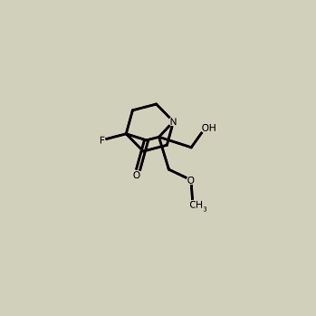 COCC1(CO)C(=O)C2(F)CCN1CC2